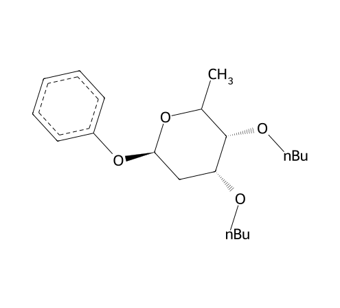 CCCCO[C@@H]1C[C@@H](Oc2ccccc2)OC(C)[C@@H]1OCCCC